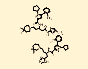 Cc1cnc(NC(=O)CC(CCN2CCC(F)(F)CC2)NC(=O)c2cc(-c3ccccc3C(F)(F)F)n(C3CCCC3)n2)s1.O=C(NC(CCN1CCCC(F)(F)C1)Cc1nnc[nH]1)c1cc(-c2ccccc2C(F)(F)F)n(C2CCCC2)n1